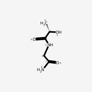 C[C@H](O)C(=O)NCC(N)=O